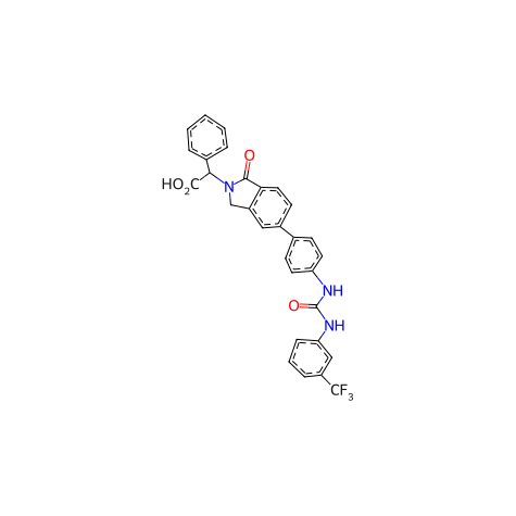 O=C(Nc1ccc(-c2ccc3c(c2)CN(C(C(=O)O)c2ccccc2)C3=O)cc1)Nc1cccc(C(F)(F)F)c1